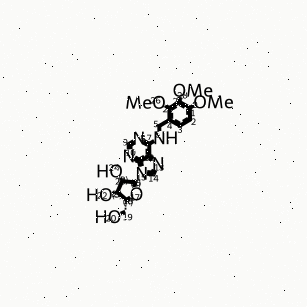 COc1ccc(CNc2ncnc3c2ncn3[C@@H]2O[C@H](CO)[C@@H](O)[C@H]2O)c(OC)c1OC